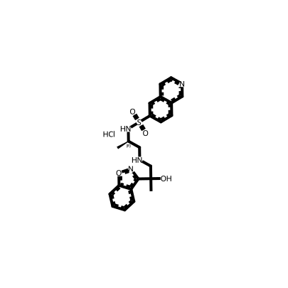 C[C@H](CNCC(C)(O)c1noc2ccccc12)NS(=O)(=O)c1ccc2cnccc2c1.Cl